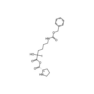 O=C(NCCCCC(O)(I)C(=O)OC(=O)[C@@H]1CCCN1)OCc1ccccc1